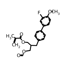 C=C(C)C(=O)OCC(COC=O)Cc1ccc(-c2ccc(OC)c(F)c2)cc1